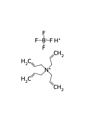 C=CC[N+](CC=C)(CC=C)CC=C.F[B-](F)(F)F.[H+]